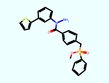 COP(=O)(Cc1ccc(C(=O)N(N)c2cccc(-c3cccs3)c2)cc1)c1ccccc1